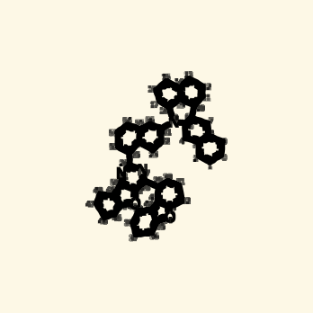 c1ccc2cc3c(cc2c1)-c1cccc2cccc(c12)N3c1ccc2c(-c3nc(-c4cccc5oc6ccccc6c45)c4oc5ccccc5c4n3)cccc2c1